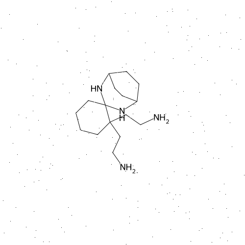 NCCC1(CCN)CCCCC12NC1CCC(CC1)N2